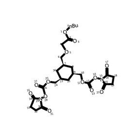 CCCCOC(=O)COC[C@H]1C[C@@H](COC(=O)ON2C(=O)CCC2=O)C[C@@H](COC(=O)ON2C(=O)CCC2=O)C1